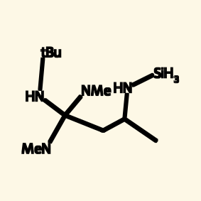 CNC(CC(C)N[SiH3])(NC)NC(C)(C)C